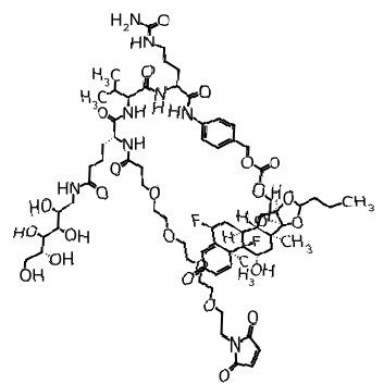 CCCC1O[C@@H]2C[C@H]3[C@@H]4C[C@H](F)C5=CC(=O)C=C[C@]5(C)[C@@]4(F)[C@@H](O)C[C@]3(C)[C@]2(C(=O)COC(=O)OCc2ccc(NC(=O)[C@H](CCCNC(N)=O)NC(=O)[C@@H](NC(=O)[C@@H](CCCC(=O)NC[C@H](O)[C@@H](O)[C@H](O)[C@H](O)CO)NC(=O)CCOCCOCCOCCOCCN3C(=O)C=CC3=O)C(C)C)cc2)O1